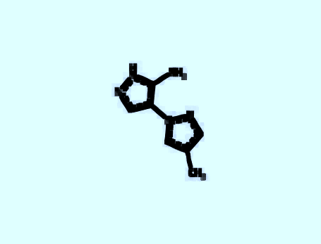 Cc1cnn(-c2cn[nH]c2N)c1